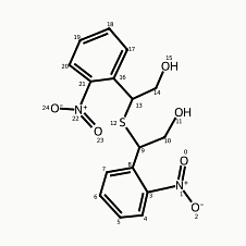 O=[N+]([O-])c1ccccc1C(CO)SC(CO)c1ccccc1[N+](=O)[O-]